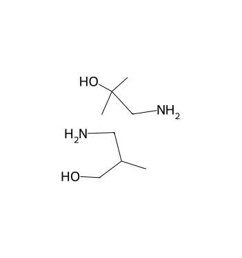 CC(C)(O)CN.CC(CN)CO